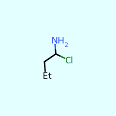 CCCC(N)Cl